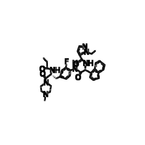 CCC(=O)N[C@H](Cc1ccc(NC(=O)[C@@H](NC(=O)c2ccnn2CC)c2cccc3ccccc23)c(F)c1)C(=O)N1CCN(C)CC1